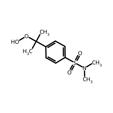 CN(C)S(=O)(=O)c1ccc(C(C)(C)OO)cc1